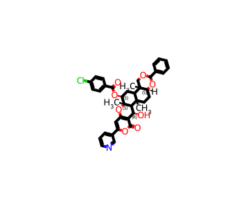 C[C@]12CC[C@@H]3OC(c4ccccc4)OC[C@@]3(C)C1C[C@H](OC(=O)c1ccc(Cl)cc1)[C@@]1(C)Oc3cc(-c4cccnc4)oc(=O)c3[C@H](O)C21